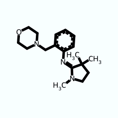 CN1CCC(C)(C)/C1=N\c1ccccc1CN1CCOCC1